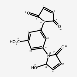 O=C(O)c1cc(N2C(=O)C=CC2=O)cc(N2C(=O)C=CC2O)c1